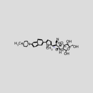 CN1CCN(c2ccc3cc(-c4ccc(/C=C(\C#N)S(=O)(=O)N[C@H]5C(O)O[C@H](CO)[C@@H](O)[C@@H]5O)n4C)ccc3c2)CC1